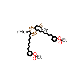 CCCCCCC1SSC(CC2SC2CCC)C(CCCCCCCc2cccc(OC(=O)CC)c2)SSC1CCCCCCCc1cccc(OC(=O)CC)c1